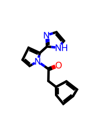 O=C(Cc1ccccc1)n1cccc1-c1ncc[nH]1